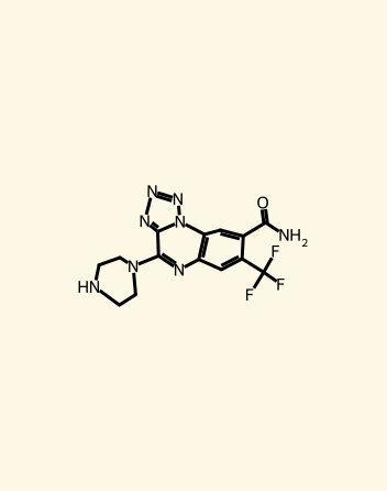 NC(=O)c1cc2c(cc1C(F)(F)F)nc(N1CCNCC1)c1nnnn12